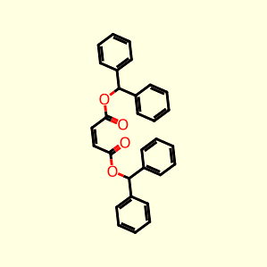 O=C(/C=C\C(=O)OC(c1ccccc1)c1ccccc1)OC(c1ccccc1)c1ccccc1